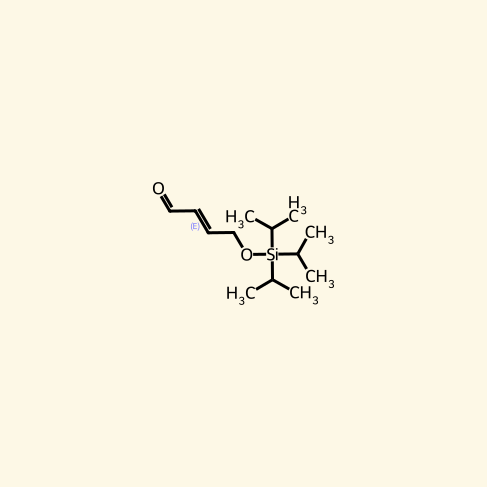 CC(C)[Si](OC/C=C/C=O)(C(C)C)C(C)C